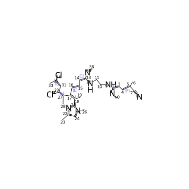 C=N/C(=C\C=C(/C)C#N)NCCN\C(=C/C=C/C(=C(\C)c1nc(C)cn1C)C(/C)=C(Cl)\C=C(/C)Cl)N=C